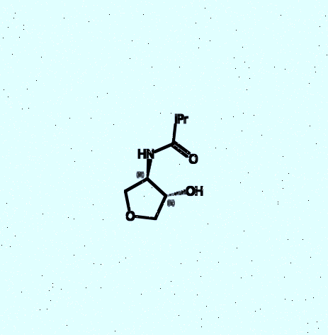 CC(C)C(=O)N[C@@H]1COC[C@H]1O